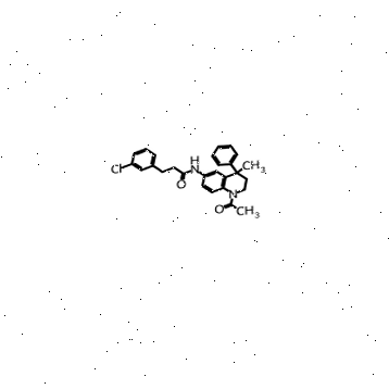 CC(=O)N1CCC(C)(c2ccccc2)c2cc(NC(=O)CCc3cccc(Cl)c3)ccc21